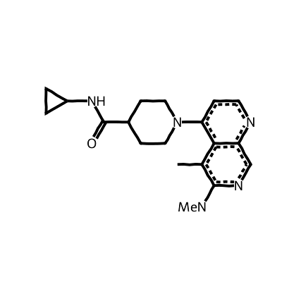 CNc1ncc2nccc(N3CCC(C(=O)NC4CC4)CC3)c2c1C